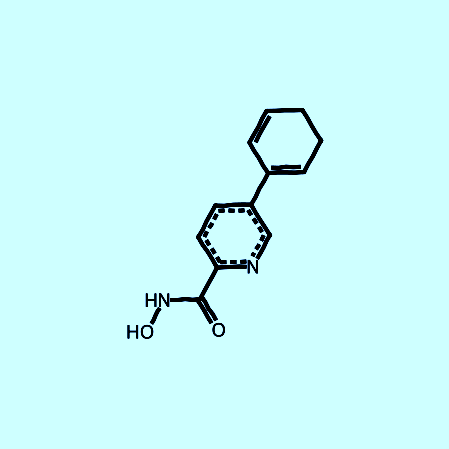 O=C(NO)c1ccc(C2=CCCC=C2)cn1